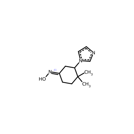 CC1(C)CC/C(=N\O)CC1n1ccnc1